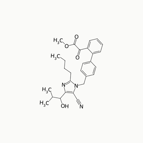 CCCCc1nc(C(O)C(C)C)c(C#N)n1Cc1ccc(-c2ccccc2C(=O)C(=O)OC)cc1